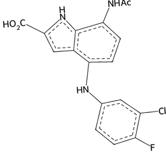 CC(=O)Nc1ccc(Nc2ccc(F)c(Cl)c2)c2cc(C(=O)O)[nH]c12